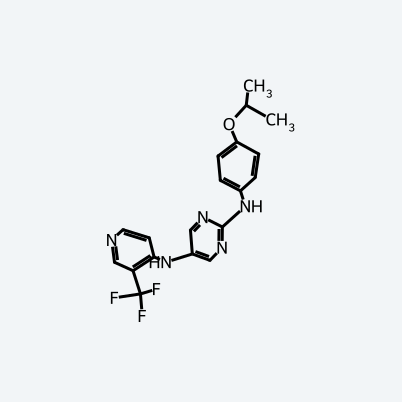 CC(C)Oc1ccc(Nc2ncc(Nc3ccncc3C(F)(F)F)cn2)cc1